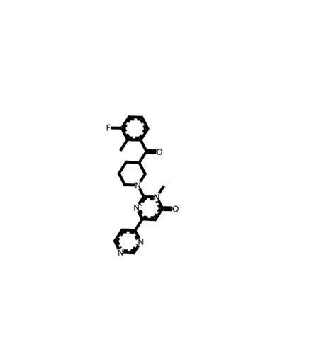 Cc1c(F)cccc1C(=O)C1CCCN(c2nc(-c3ccncn3)cc(=O)n2C)C1